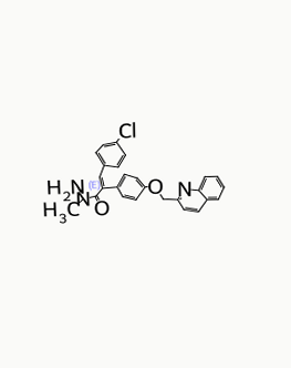 CN(N)C(=O)/C(=C/c1ccc(Cl)cc1)c1ccc(OCc2ccc3ccccc3n2)cc1